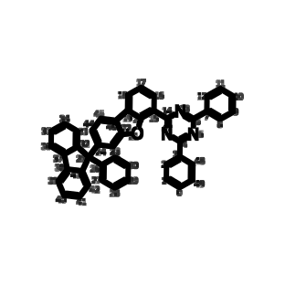 c1ccc(-c2nc(-c3ccccc3)nc(-c3cccc4c3oc3cc(C5(c6ccccc6)c6ccccc6-c6ccccc65)ccc34)n2)cc1